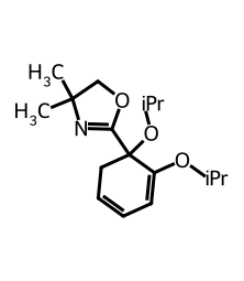 CC(C)OC1=CC=CCC1(OC(C)C)C1=NC(C)(C)CO1